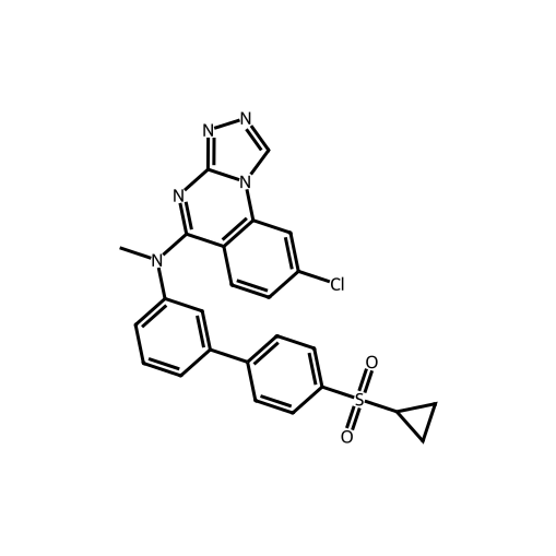 CN(c1cccc(-c2ccc(S(=O)(=O)C3CC3)cc2)c1)c1nc2nncn2c2cc(Cl)ccc12